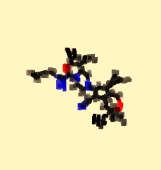 CC(C)[C@@H]1CN(c2cc(C3CC3)c3c(c2C#N)CC(C)(C)OC3)CCN1C(=O)NCC1CC1